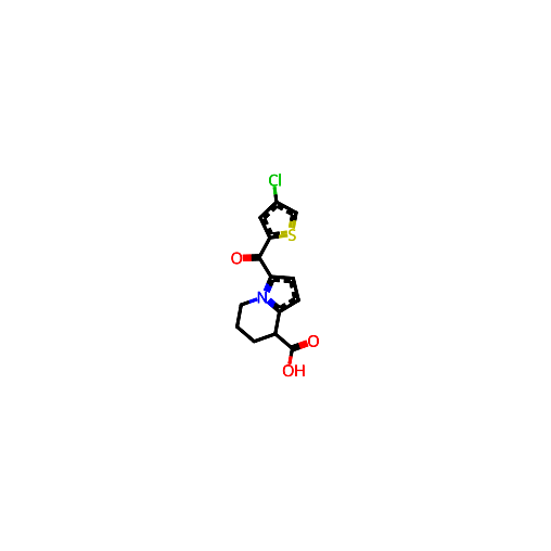 O=C(c1cc(Cl)cs1)c1ccc2n1CCCC2C(=O)O